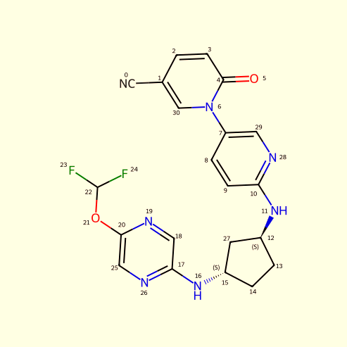 N#Cc1ccc(=O)n(-c2ccc(N[C@H]3CC[C@H](Nc4cnc(OC(F)F)cn4)C3)nc2)c1